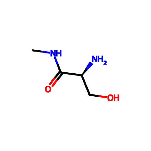 CNC(=O)[C@@H](N)CO